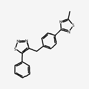 Cc1nc(-c2ccc(Cc3nnsc3-c3ccccc3)cc2)ns1